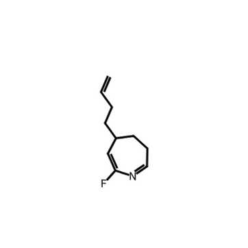 C=CCCC1C=C(F)N=CCC1